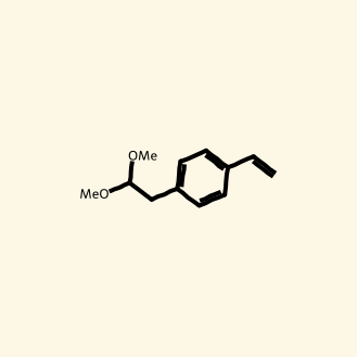 C=Cc1ccc(CC(OC)OC)cc1